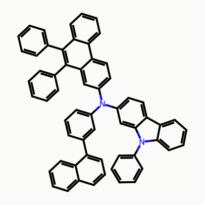 c1ccc(-c2c(-c3ccccc3)c3cc(N(c4cccc(-c5cccc6ccccc56)c4)c4ccc5c6ccccc6n(-c6ccccc6)c5c4)ccc3c3ccccc23)cc1